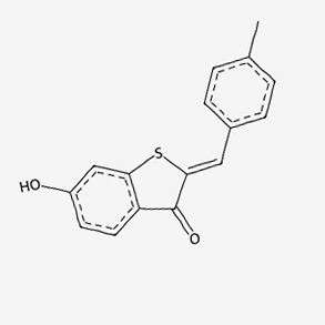 Cc1ccc(C=C2Sc3cc(O)ccc3C2=O)cc1